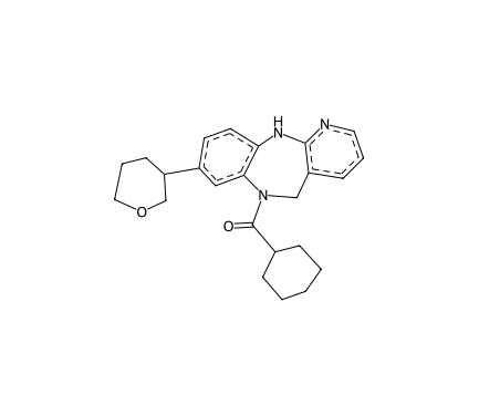 O=C(C1CCCCC1)N1Cc2cccnc2Nc2ccc(C3CCCOC3)cc21